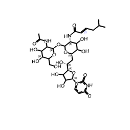 CC(=O)NC1C(O)[C@H](O)C(CO)O[C@@H]1OC1O[C@H](C[C@@H](O)[C@H]2O[C@@H](n3ccc(=O)[nH]c3=O)C(O)C2O)C(O)C(O)[C@H]1NC(=O)/C=C/CC(C)C